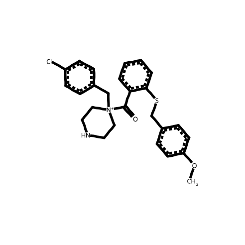 COc1ccc(CSc2ccccc2C(=O)[N+]2(Cc3ccc(Cl)cc3)CCNCC2)cc1